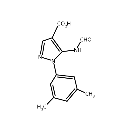 Cc1cc(C)cc(-n2ncc(C(=O)O)c2NC=O)c1